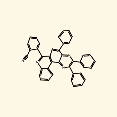 N#Cc1ccccc1-c1nc2ccccc2c2c1cc(-c1ccccc1)c1nc(-c3ccccc3)c(-c3ccccc3)nc12